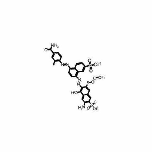 Cc1cc(C(N)=O)ccc1N=Nc1ccc(N=Nc2c(SOOO)cc3cc(S(=O)(=O)O)c(N)cc3c2O)c2cc(S(=O)(=O)O)ccc12